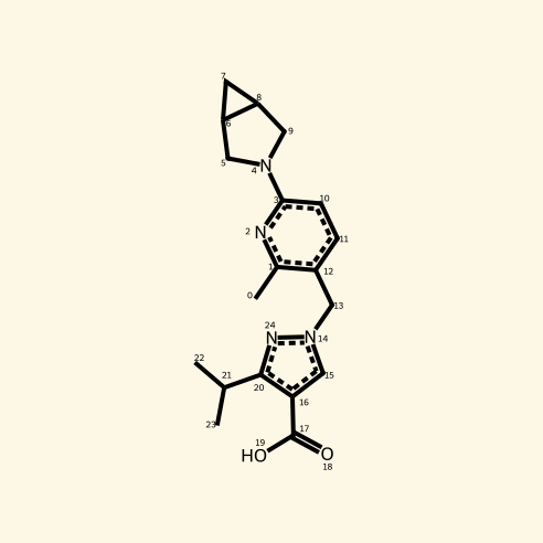 Cc1nc(N2CC3CC3C2)ccc1Cn1cc(C(=O)O)c(C(C)C)n1